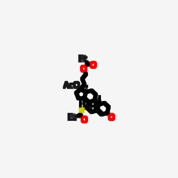 CCC(=O)OCCC[C@]1(OC(C)=O)CC[C@H]2[C@@H]3[C@H](SC(=O)CC)CC4=CC(=O)CC[C@]4(C)[C@H]3CC[C@@]21C